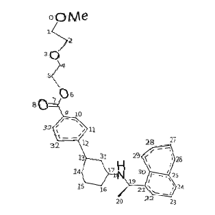 COCCOCCOC(=O)c1ccc(C2CCCC(N[C@H](C)c3cccc4ccccc34)C2)cc1